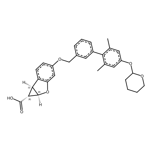 Cc1cc(OC2CCCCO2)cc(C)c1-c1cccc(COc2ccc3c(c2)O[C@H]2[C@H](C(=O)O)[C@@H]32)c1